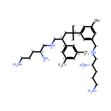 CC(C)(C)c1cc(CNC[C@@H](N)CCCN)cc(C(C)(C)CC(CNC[C@@H](N)CCCN)c2cc(C(F)(F)F)cc(C(F)(F)F)c2)c1